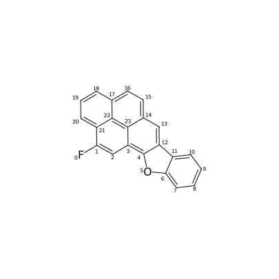 Fc1cc2c3oc4ccccc4c3cc3ccc4cccc1c4c32